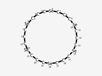 C1C[Se]CCC[Se]CCC[Se]CCC[Se]CCC[Se]CCC[Se]C1